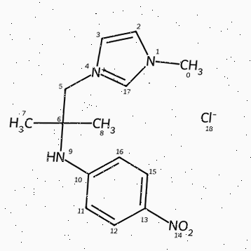 Cn1cc[n+](CC(C)(C)Nc2ccc([N+](=O)[O-])cc2)c1.[Cl-]